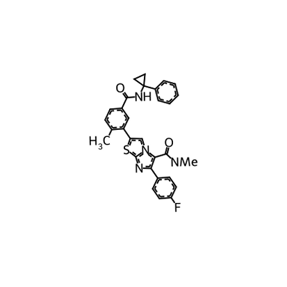 CNC(=O)c1c(-c2ccc(F)cc2)nc2sc(-c3cc(C(=O)NC4(c5ccccc5)CC4)ccc3C)cn12